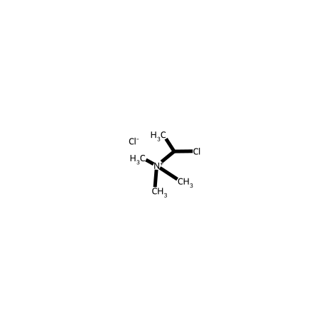 CC(Cl)[N+](C)(C)C.[Cl-]